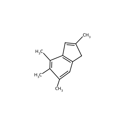 CC1=Cc2c(cc(C)c(C)c2C)C1